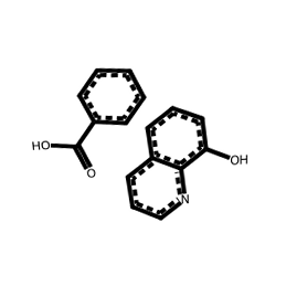 O=C(O)c1ccccc1.Oc1cccc2cccnc12